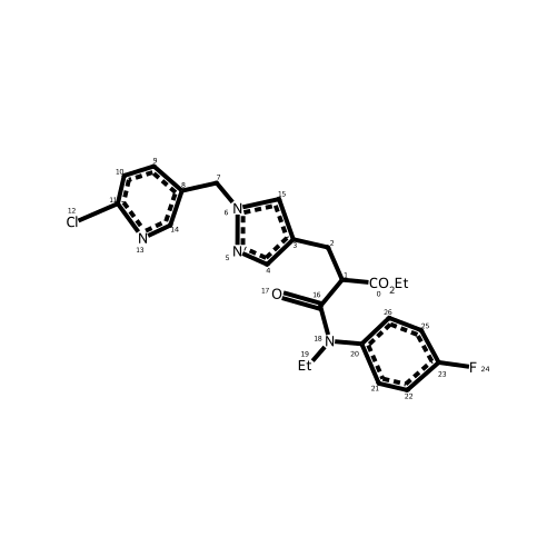 CCOC(=O)C(Cc1cnn(Cc2ccc(Cl)nc2)c1)C(=O)N(CC)c1ccc(F)cc1